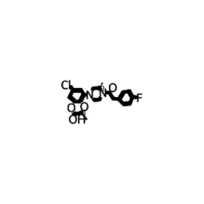 C[C@H](Oc1ccc(Cl)cc1N1CCN(C(=O)Cc2ccc(F)cc2)[C@@H](C)C1)C(=O)O